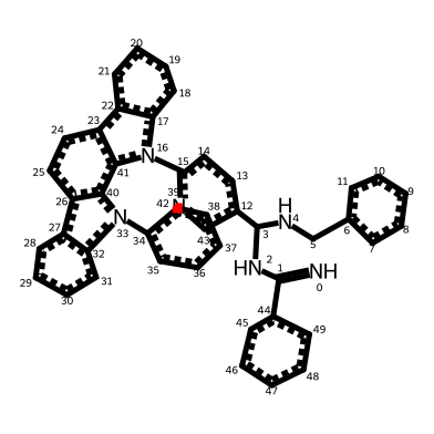 N=C(NC(NCc1ccccc1)c1ccc(-n2c3ccccc3c3ccc4c5ccccc5n(-c5ccccc5)c4c32)nc1)c1ccccc1